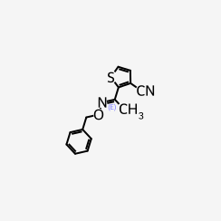 C/C(=N\OCc1ccccc1)c1sccc1C#N